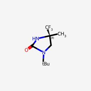 CC(C)(C)N1C[C@](C)(C(F)(F)F)NC1=O